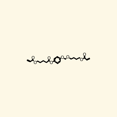 C=CC(=O)OCCCCOCOc1ccc(OC(=O)CCCCOC(=O)C=C)cc1